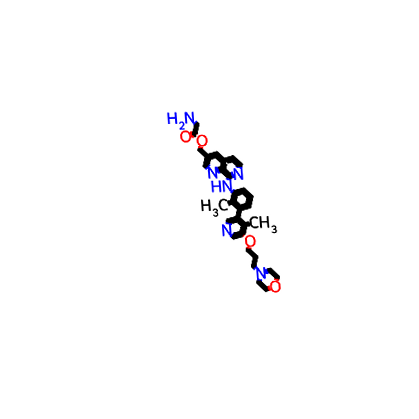 Cc1c(Nc2nccc3cc(COC(=O)CN)cnc23)cccc1-c1cncc(OCCCN2CCOCC2)c1C